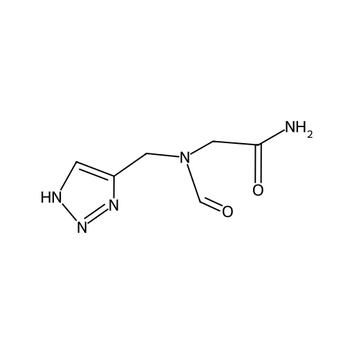 NC(=O)CN(C=O)Cc1c[nH]nn1